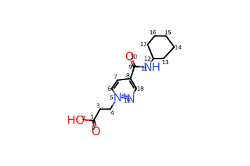 O=C(O)CC[n+]1ccc(C(=O)NC2CCCCC2)cn1